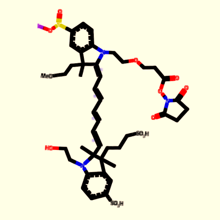 COCCC1(C)\C(=C/C=C/C=C/C=C/C2(C)N(CCO)c3ccc(S(=O)(=O)O)cc3C2(C)CCCS(=O)(=O)O)N(CCOCCC(=O)ON2C(=O)CCC2=O)c2ccc(S(=O)OI)cc21